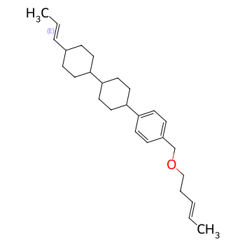 CC=CCCOCc1ccc(C2CCC(C3CCC(/C=C/C)CC3)CC2)cc1